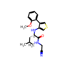 COc1ccccc1-c1cscc1N[C@@H](CC(C)C)C(=O)NCC#N